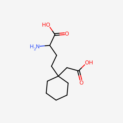 NC(CCC1(CC(=O)O)CCCCC1)C(=O)O